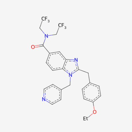 CCOc1ccc(Cc2nc3cc(C(=O)N(CC(F)(F)F)CC(F)(F)F)ccc3n2Cc2ccncc2)cc1